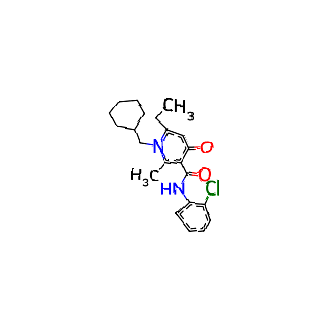 CCc1cc(=O)c(C(=O)Nc2ccccc2Cl)c(C)n1CC1CCCCC1